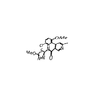 COc1nnc(NC(=O)c2cnc(C)cc2-c2cc(Cl)ccc2OC)s1